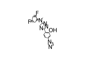 CN(c1cnc(-c2ccc(-n3ccnc3)cc2O)nn1)[C@@H]1C[C@@H](F)C[C@H]1F